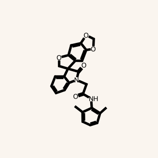 Cc1cccc(C)c1NC(=O)CN1C(=O)C2(COc3cc4c(cc32)OCO4)c2ccccc21